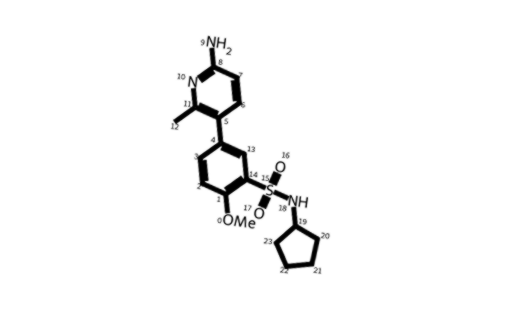 COc1ccc(-c2ccc(N)nc2C)cc1S(=O)(=O)NC1CCCC1